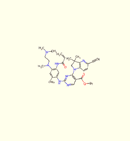 C#Cc1ccc2c(n1)C(C)(C)CN2c1nc(Nc2cc(NC(=O)C=C)c(N(C)CCN(C)C)cc2OC)ncc1C(=O)OC(C)C